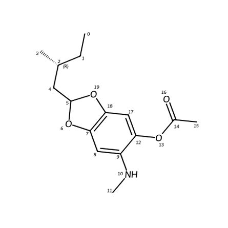 CC[C@@H](C)CC1Oc2cc(NC)c(OC(C)=O)cc2O1